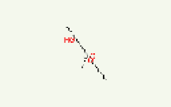 CCCCCCCCCCCOC(=O)C(CCCCCCCCCC(O)CCCCCC)C(C)CCCCC